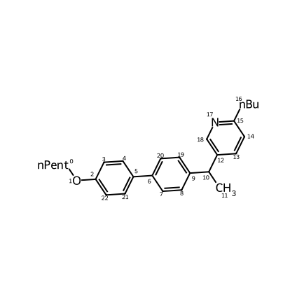 CCCCCOc1ccc(-c2ccc(C(C)c3ccc(CCCC)nc3)cc2)cc1